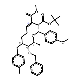 COC(=O)/C(=C/CC[C@H](Cc1ccc(C)cc1)[C@@H](OCc1ccccc1)[C@H](C)OCc1ccc(OC)cc1)NC(=O)OC(C)(C)C